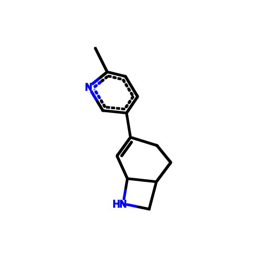 Cc1ccc(C2=CC3NCC3CC2)cn1